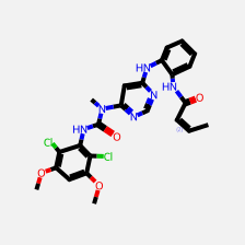 C/C=C\C(=O)Nc1ccccc1Nc1cc(N(C)C(=O)Nc2c(Cl)c(OC)cc(OC)c2Cl)ncn1